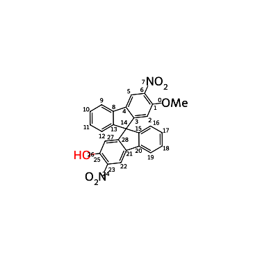 COc1cc2c(cc1[N+](=O)[O-])-c1ccccc1C21c2ccccc2-c2cc([N+](=O)[O-])c(O)cc21